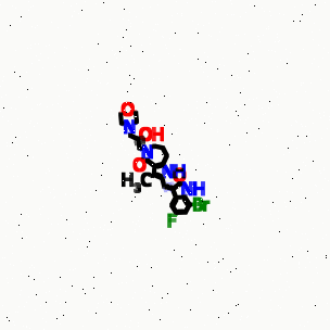 Cc1c(/C=C2\C(=O)Nc3c(Br)cc(F)cc32)[nH]c2c1C(=O)N(C[C@@H](O)CN1CCOCC1)CCC2